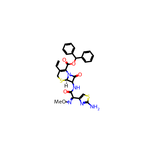 C=CC1=C(C(=O)OC(c2ccccc2)c2ccccc2)N2C(=O)C(NC(=O)/C(=N\OC)c3csc(N)n3)[C@H]2SC1